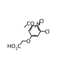 CC(=O)O.O=C(O)COc1ccc(Cl)c(Cl)c1